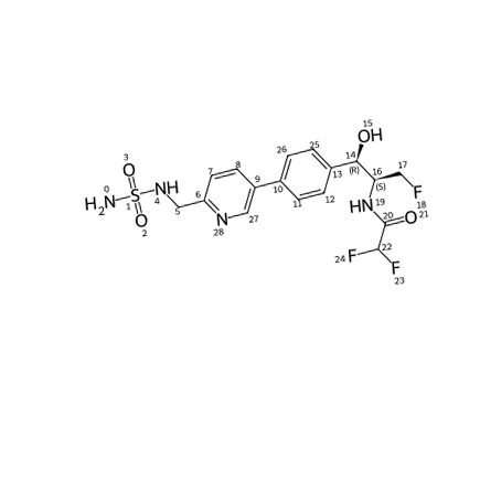 NS(=O)(=O)NCc1ccc(-c2ccc([C@@H](O)[C@@H](CF)NC(=O)C(F)F)cc2)cn1